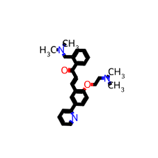 CN(C)CCOc1ccc(-c2ccccn2)cc1C=CC(=O)c1ccccc1CN(C)C